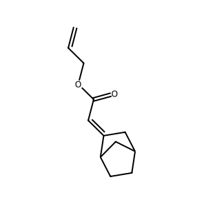 C=CCOC(=O)C=C1CC2CCC1C2